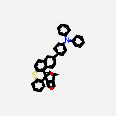 c1ccc(N(c2ccccc2)c2ccc(-c3ccc4c5c(ccc4c3)Sc3ccccc3C53c4ccccc4-c4ccccc43)cc2)cc1